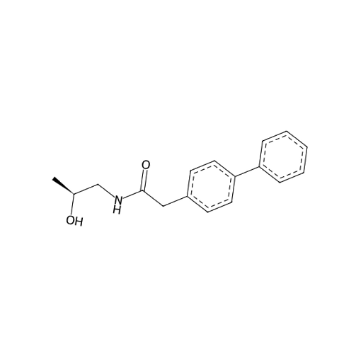 C[C@H](O)CNC(=O)Cc1ccc(-c2ccccc2)cc1